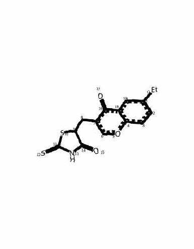 CCc1ccc2occ(CC3SC(=S)NC3=O)c(=O)c2c1